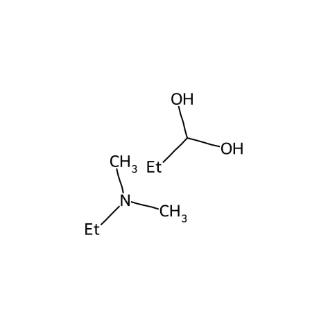 CCC(O)O.CCN(C)C